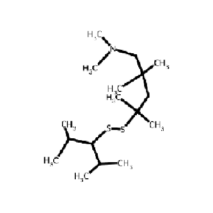 CC(C)C(SSC(C)(C)CC(C)(C)CN(C)C)C(C)C